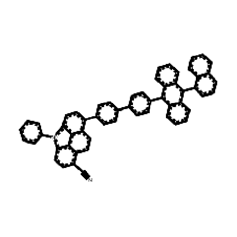 N#Cc1ccc2c3c1ccc1c(-c4ccc(-c5ccc(-c6c7ccccc7c(-c7cccc8ccccc78)c7ccccc67)cc5)cc4)ccc(c13)n2-c1ccccc1